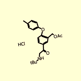 CC(=O)OCc1cc(C(=O)CNC(C)(C)C)ccc1Oc1ccc(C)cc1.Cl